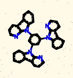 c1ccc2c(c1)c1cccnc1n2-c1cc(-n2c3ccccc3c3cccnc32)cc(-n2c3ccccc3c3cccnc32)c1